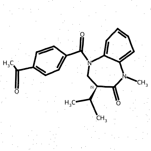 CC(=O)c1ccc(C(=O)N2C[C@H](C(C)C)C(=O)N(C)c3ccccc32)cc1